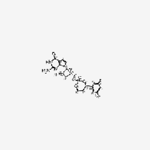 Nc1nc2c(ccn2[C@@H]2O[C@H](COP3(=O)OCC[C@H](c4cc(F)cc(F)c4)O3)C[C@H]2O)c(=O)[nH]1